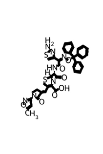 Cc1cc(N2CC/C(=C\C3=C(C(=O)O)N4C(=O)[C@@H](NC(=O)/C(=N\OC(c5ccccc5)(c5ccccc5)c5ccccc5)c5csc(N)n5)[C@H]4SC3)C2=O)no1